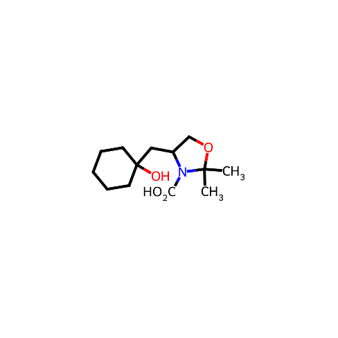 CC1(C)OCC(CC2(O)CCCCC2)N1C(=O)O